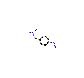 C=Nc1ccc(CN(C)C)cc1